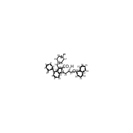 Cc1ccccc1-c1cccc2c1c(CN1CCN(C)CC1)c(C(=O)O)n2CCCOc1cccc2ccccc12